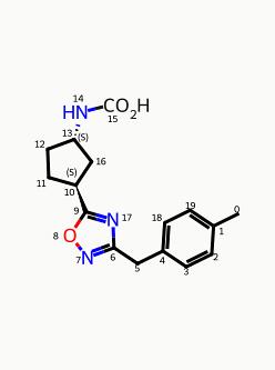 Cc1ccc(Cc2noc([C@H]3CC[C@H](NC(=O)O)C3)n2)cc1